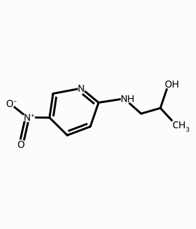 CC(O)CNc1ccc([N+](=O)[O-])cn1